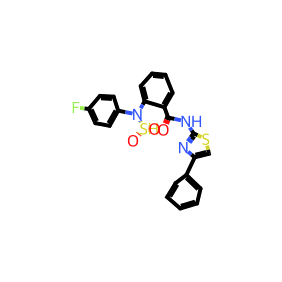 O=C(Nc1nc(-c2ccccc2)cs1)c1ccccc1N(c1ccc(F)cc1)[SH](=O)=O